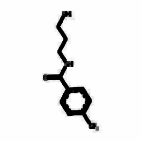 O=C(NCCCO)c1ccc(C(F)(F)F)cc1